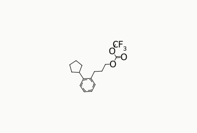 O=C(OCCCc1ccccc1C1CCCC1)OC(F)(F)F